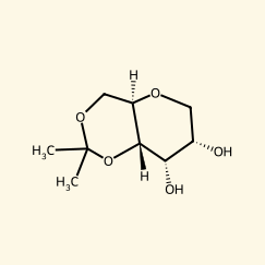 CC1(C)OC[C@H]2OC[C@H](O)[C@H](O)[C@@H]2O1